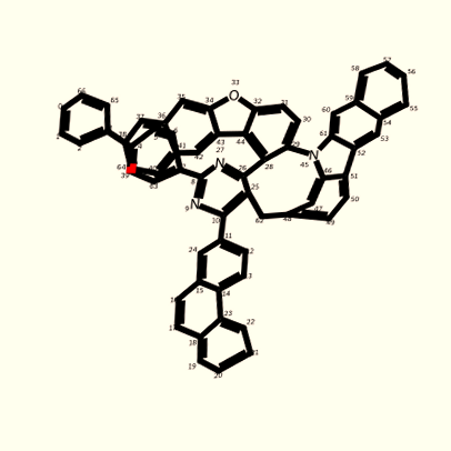 c1ccc(-c2ccc(-c3nc(-c4ccc5c(ccc6ccccc65)c4)c4c(n3)-c3c(ccc5oc6cc7ccccc7cc6c35)-n3c5cc(ccc5c5cc6ccccc6cc53)C4)cc2)cc1